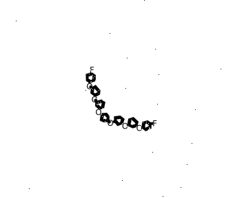 Fc1ccc(Oc2cccc(Oc3cccc(Oc4ccc(Oc5cccc(Oc6cccc(Oc7ccc(F)cc7)c6)c5)cc4)c3)c2)cc1